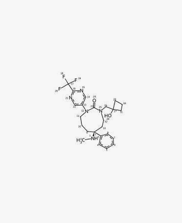 CN[C@@]1(c2ccccc2)CCCN(c2cnc(C(F)(F)F)nc2)C(=O)N(CC2(O)CCC2)CC1